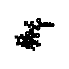 CSC(=O)OC(C)OC(=O)N(C)C1(C)C2CCC(C2)C1(C)C